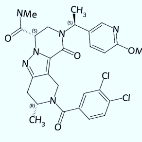 CNC(=O)[C@@H]1CN([C@@H](C)c2ccc(OC)nc2)C(=O)c2c3c(nn21)C[C@@H](C)N(C(=O)c1ccc(Cl)c(Cl)c1)C3